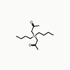 CCC[CH2][Sn]([CH2]CCC)([CH2]C(C)=O)[CH2]C(C)=O